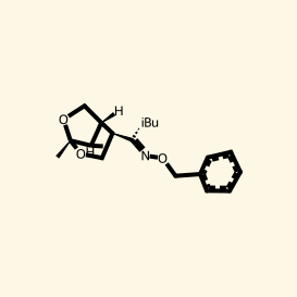 CC[C@@H](C)/C(=N\OCc1ccccc1)[C@H]1CO[C@]2(C)OC[C@H]1[C@H]2C